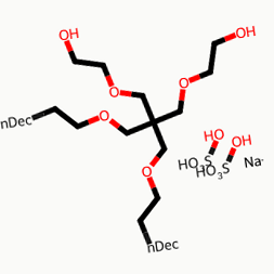 CCCCCCCCCCCCOCC(COCCO)(COCCO)COCCCCCCCCCCCC.O=S(=O)(O)O.O=S(=O)(O)O.[Na]